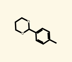 Cc1ccc(C2OCCCO2)cc1